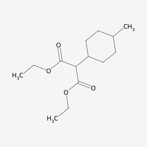 CCOC(=O)C(C(=O)OCC)C1CCC(C)CC1